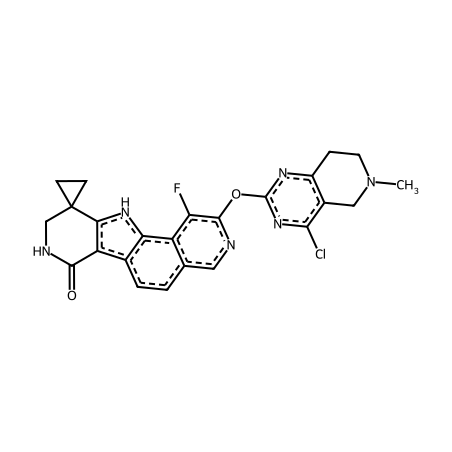 CN1CCc2nc(Oc3ncc4ccc5c6c([nH]c5c4c3F)C3(CC3)CNC6=O)nc(Cl)c2C1